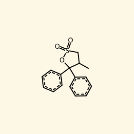 CC1CS(=O)(=O)OC1(c1ccccc1)c1ccccc1